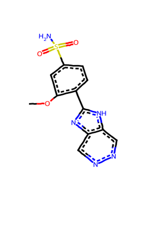 COc1cc(S(N)(=O)=O)ccc1-c1nc2cnncc2[nH]1